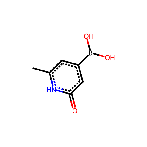 Cc1cc(B(O)O)cc(=O)[nH]1